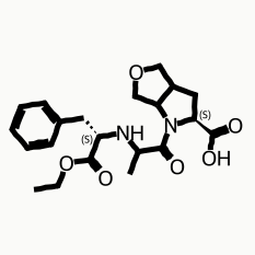 CCOC(=O)[C@H](Cc1ccccc1)NC(C)C(=O)N1C2COCC2C[C@H]1C(=O)O